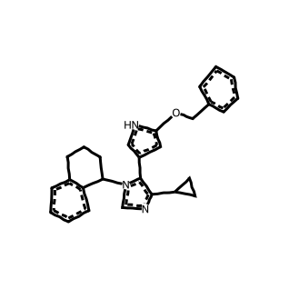 c1ccc(COc2cc(-c3c(C4CC4)ncn3C3CCCc4ccccc43)c[nH]2)cc1